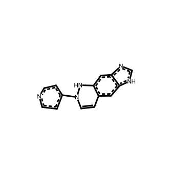 C1=CN(c2ccncc2)Nc2cc3nc[nH]c3cc21